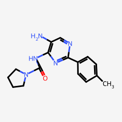 Cc1ccc(-c2ncc(N)c(NC(=O)N3CCCC3)n2)cc1